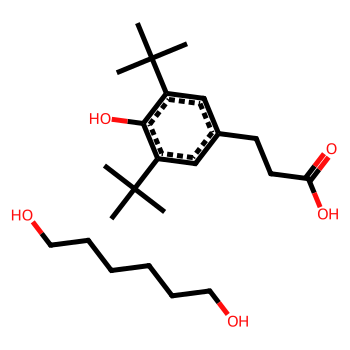 CC(C)(C)c1cc(CCC(=O)O)cc(C(C)(C)C)c1O.OCCCCCCO